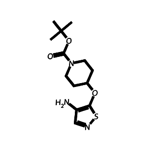 CC(C)(C)OC(=O)N1CCC(Oc2sncc2N)CC1